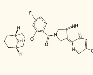 N=C1CN(C(=O)c2ccc(F)cc2O[C@H]2C[C@H]3CCC[C@@H](C2)N3)C/C1=C1\N=CC(Cl)=CN1